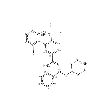 Cc1cccc(I)c1-c1nc(C(=O)Nc2cnccc2OCC2CCNCC2)ccc1C(F)(F)F